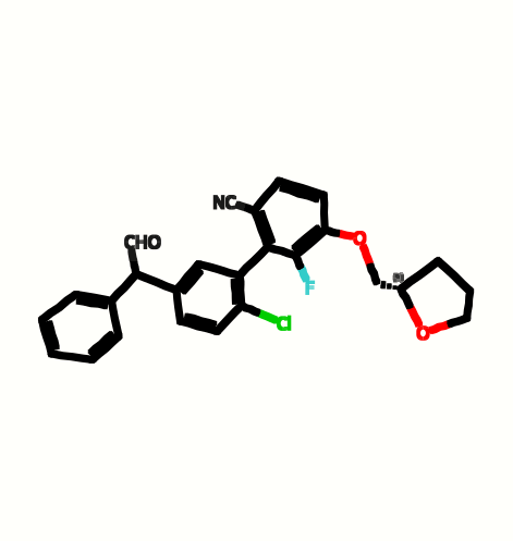 N#Cc1ccc(OC[C@@H]2CCCO2)c(F)c1-c1cc(C(C=O)c2ccccc2)ccc1Cl